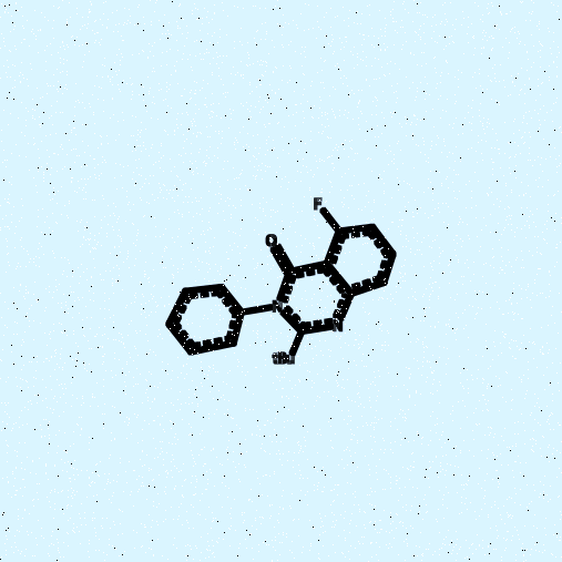 CC(C)(C)c1nc2cccc(F)c2c(=O)n1-c1ccccc1